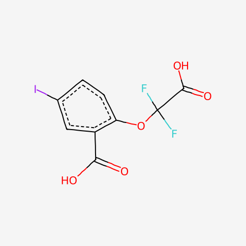 O=C(O)c1cc(I)ccc1OC(F)(F)C(=O)O